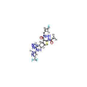 Cn1nc(C(F)F)cc1Nc1nncn1[C@H]1CCc2sc(NC(=O)C3CC3)c(C(=O)NCC3CC(F)C3)c2C1